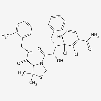 Cc1ccccc1CNC(=O)[C@H]1N(C(=O)[C@@H](O)[C@H](Cc2ccccc2)C2(Cl)NC=CC(C(N)=O)=C2Cl)CSC1(C)C